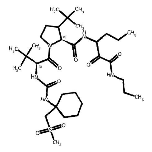 CCCNC(=O)C(=O)C(CCC)NC(=O)[C@@H]1C(C(C)(C)C)CCN1C(=O)[C@@H](NC(=O)NC1(CS(C)(=O)=O)CCCCC1)C(C)(C)C